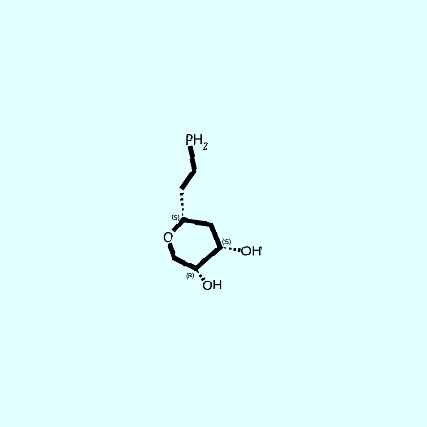 O[C@@H]1CO[C@H](CCP)C[C@@H]1O